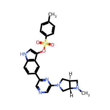 Cc1ccc(S(=O)(=O)Oc2c[nH]c3ccc(-c4cncc(N5C[C@H]6CN(C)[C@@H]6C5)n4)cc23)cc1